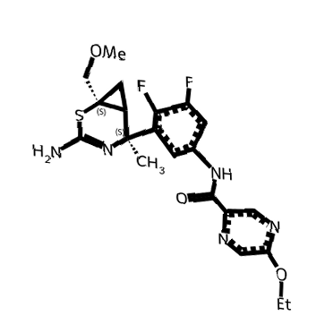 CCOc1cnc(C(=O)Nc2cc(F)c(F)c([C@@]3(C)N=C(N)S[C@@]4(COC)CC43)c2)cn1